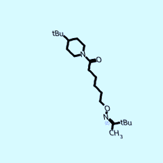 C/C(=N/OCCCCCC(=O)N1CCC(C(C)(C)C)CC1)C(C)(C)C